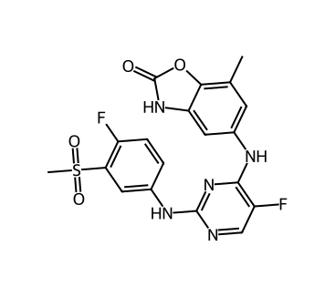 Cc1cc(Nc2nc(Nc3ccc(F)c(S(C)(=O)=O)c3)ncc2F)cc2[nH]c(=O)oc12